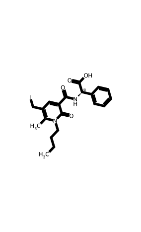 CCCCn1c(C)c(CI)cc(C(=O)N[C@H](C(=O)O)c2ccccc2)c1=O